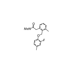 CNC(=O)Cc1cccc(C)c1COc1ccc(C)cc1F